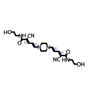 N#C/C(=C\C=C\N1CCN(/C=C/C=C(\C#N)C(=O)NCCO)CC1)C(=O)NCCO